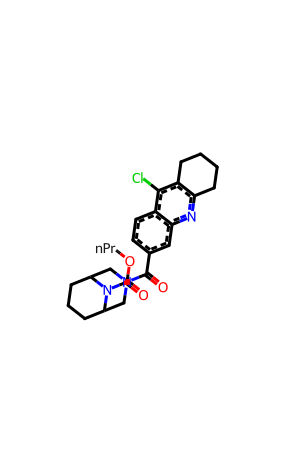 CCCOC(=O)N1C2CCCC1CN(C(=O)c1ccc3c(Cl)c4c(nc3c1)CCCC4)C2